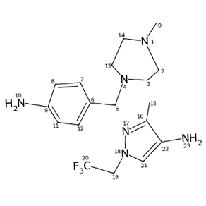 CN1CCN(Cc2ccc(N)cc2)CC1.Cc1nn(CC(F)(F)F)cc1N